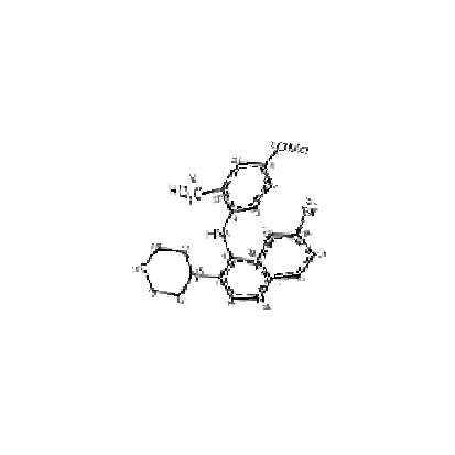 COc1ccc(Nc2c(N3CCSCC3)cnc3ccc(Br)cc23)c(C(=O)O)c1